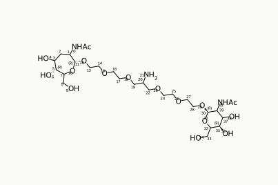 CC(=O)NC1CC(O)[C@@H](O)C(CO)O[C@H]1OCCOCCOCC(N)COCCOCCO[C@@H]1OC(CO)[C@H](O)C(O)C1NC(C)=O